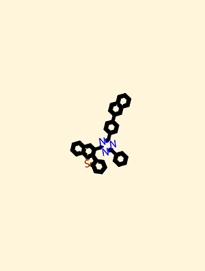 c1ccc(-c2nc(-c3ccc(-c4ccc5ccccc5c4)cc3)nc(-c3cc4ccccc4c4sc5ccccc5c34)n2)cc1